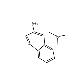 CN(C)C.[SnH][c]1cnc2ccccc2c1